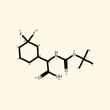 CC(C)(C)OC(=O)NC(C(=O)O)C1CCCC(F)(F)C1